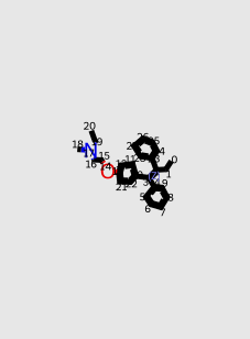 CC/C(=C(\c1ccccc1)c1ccc(OCCN(C)CC)cc1)c1ccccc1